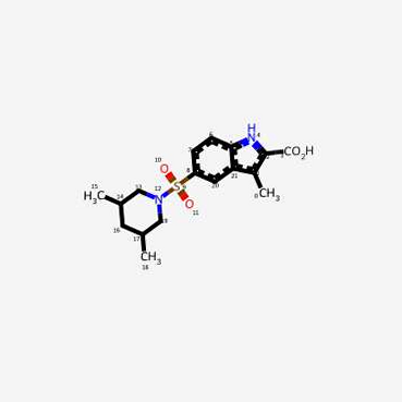 Cc1c(C(=O)O)[nH]c2ccc(S(=O)(=O)N3CC(C)CC(C)C3)cc12